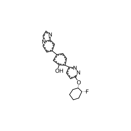 Oc1cc(-c2ccn3ccnc3c2)ccc1-c1ccc(O[C@H]2CCCC[C@H]2F)nn1